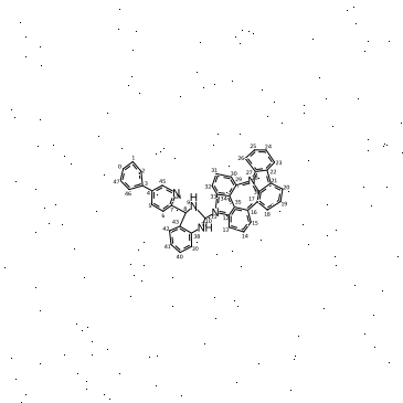 c1ccc(-c2ccc(C3NC(n4c5cccc6c7cccc8c9ccccc9n(c9cccc4c9c65)c78)Nc4ccccc43)nc2)cc1